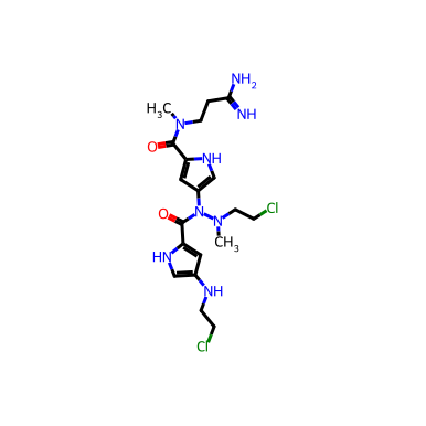 CN(CCC(=N)N)C(=O)c1cc(N(C(=O)c2cc(NCCCl)c[nH]2)N(C)CCCl)c[nH]1